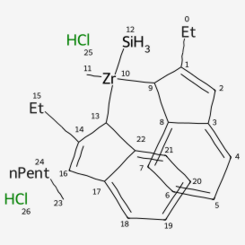 CCC1=Cc2ccccc2[CH]1[Zr]([CH3])([SiH3])[CH]1C(CC)=Cc2ccccc21.CCCCCC.Cl.Cl